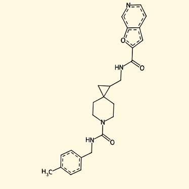 Cc1ccc(CNC(=O)N2CCC3(CC2)CC3CNC(=O)c2cc3ccncc3o2)cc1